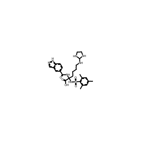 Cc1cc(C)c(S(=O)(=O)NC(CCCCNC2NCCN2)(NC(=O)c2ccc3[nH]ncc3c2)C(=O)O)c(C)c1